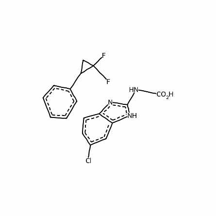 FC1(F)CC1c1ccccc1.O=C(O)Nc1nc2ccc(Cl)cc2[nH]1